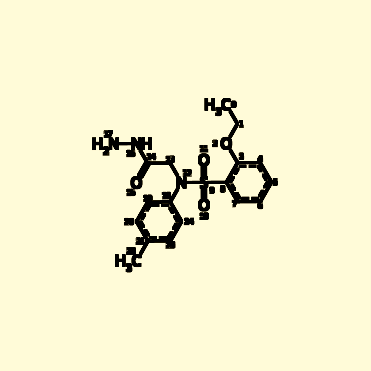 CCOc1ccccc1S(=O)(=O)N(CC(=O)NN)c1ccc(C)cc1